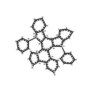 c1ccc(-n2c3ccccc3c3c4c5ccccc5n(-c5ccccc5)c4c4c(c5ccncc5c5nccn54)c32)cc1